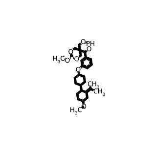 COC1CCC(C2CCC(Oc3cccc(C4OPOCC45COP(OC)OC5)c3)CC2)C(=C(C)C)C1